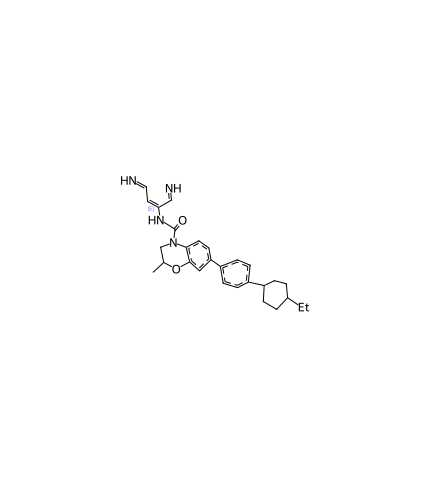 CCC1CCC(c2ccc(-c3ccc4c(c3)OC(C)CN4C(=O)N/C(C=N)=C/C=N)cc2)CC1